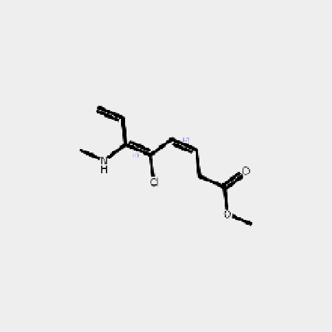 C=C/C(NC)=C(Cl)\C=C/CC(=O)OC